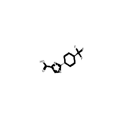 O=C(O)c1csc([C@H]2CC[C@H](C(F)(F)F)CC2)n1